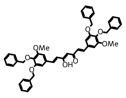 COc1cc(C=CC(=O)C=C(O)C=Cc2cc(OC)c(OCc3ccccc3)c(OCc3ccccc3)c2)cc(OCc2ccccc2)c1OCc1ccccc1